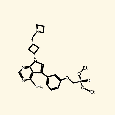 CCOP(=O)(COc1cccc(-c2cn([C@H]3C[C@@H](CN4CCC4)C3)c3ncnc(N)c23)c1)OCC